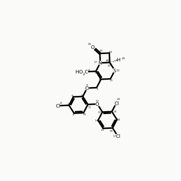 O=C(O)C1=C(COc2cc(Cl)ccc2Oc2ccc(Cl)cc2Cl)CS[C@@H]2CC(=O)N12